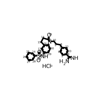 Cl.N=C(N)c1ccc(CCCN2C(=O)CCc3cc(NS(=O)(=O)c4ccccc4)ccc32)cc1